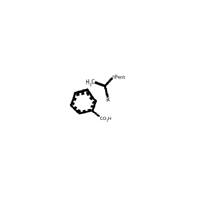 CCCCC[CH](C)[K].O=C(O)c1ccccc1